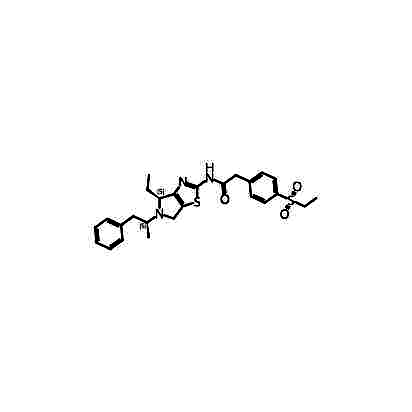 CC[C@H]1c2nc(NC(=O)Cc3ccc(S(=O)(=O)CC)cc3)sc2CN1[C@@H](C)Cc1ccccc1